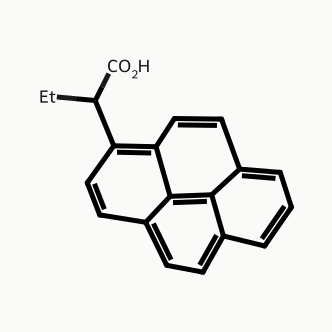 CCC(C(=O)O)c1ccc2ccc3cccc4ccc1c2c34